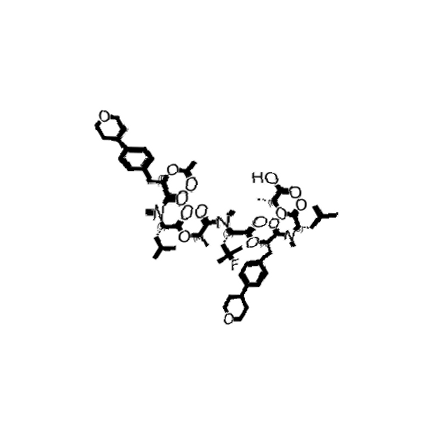 CC(=O)O[C@H](Cc1ccc(C2CCOCC2)cc1)C(=O)N(C)[C@@H](CC(C)C)C(=O)O[C@H](C)C(=O)N(C)[C@@H](CC(C)(C)F)C(=O)O[C@H](Cc1ccc(C2CCOCC2)cc1)C(=O)N(C)[C@@H](CC(C)C)C(=O)O[C@H](C)C(=O)O